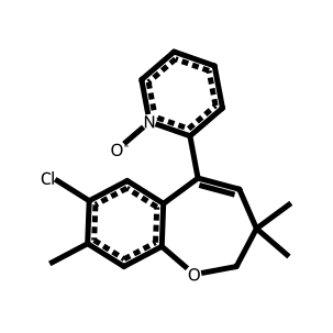 Cc1cc2c(cc1Cl)C(c1cccc[n+]1[O-])=CC(C)(C)CO2